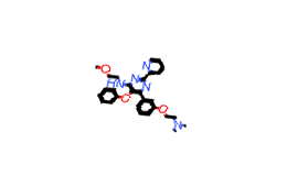 COCCNc1nc(-c2ccccn2)nc(-c2cccc(OCCN(C)C)c2)c1Oc1ccccc1